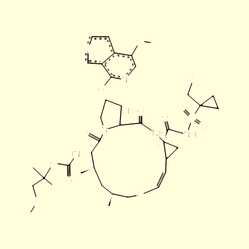 COCC(C)(C)OC(=O)N[C@@H]1C(=O)N2C[C@H](Oc3ncc(OC)c4ccccc34)C[C@H]2C(=O)N[C@]2(C(=O)NS(=O)(=O)C3(CF)CC3)CC2/C=C\CC[C@@H](C)C[C@H]1C